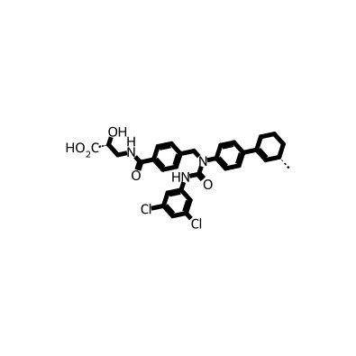 C[C@@H]1C=C(c2ccc(N(Cc3ccc(C(=O)NC[C@@H](O)C(=O)O)cc3)C(=O)Nc3cc(Cl)cc(Cl)c3)cc2)CCC1